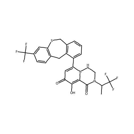 CC(N1CNn2c(-c3cccc4c3Cc3ccc(C(F)(F)F)cc3SC4)cc(=O)c(O)c2C1=O)C(F)(F)F